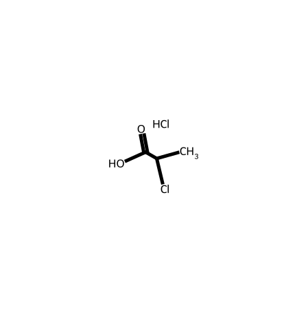 CC(Cl)C(=O)O.Cl